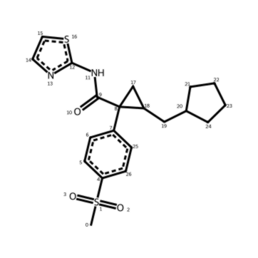 CS(=O)(=O)c1ccc(C2(C(=O)Nc3nccs3)CC2CC2CCCC2)cc1